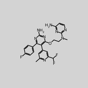 Cc1cc(-c2c(OCCN(C)c3nccc(N)n3)nc(N)nc2-c2ccc(F)cc2)cc(C(F)F)n1